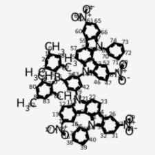 Cc1cc(C)c(B(c2cc(-n3c4ccc([N+](=O)[O-])cc4c4c3ccc3c5cc([N+](=O)[O-])ccc5n(-c5ccccc5)c34)cc(-n3c4ccc([N+](=O)[O-])cc4c4c3ccc3c5cc([N+](=O)[O-])ccc5n(-c5ccccc5)c34)c2)c2c(C)cc(C)cc2C)c(C)c1